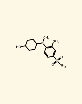 CN(c1ccc(S(N)(=O)=O)cc1[N+](=O)[O-])C1CCC(O)CC1